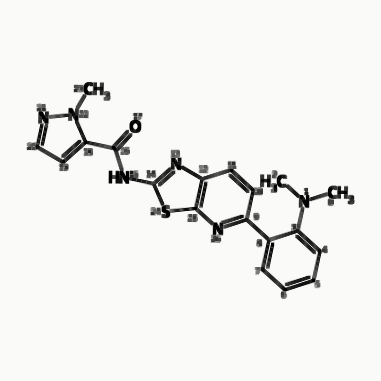 CN(C)c1ccccc1-c1ccc2nc(NC(=O)c3ccnn3C)sc2n1